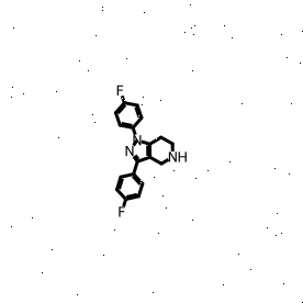 Fc1ccc(-c2nn(-c3ccc(F)cc3)c3c2CNCC3)cc1